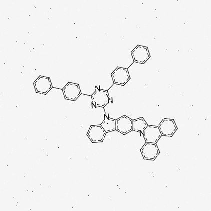 c1ccc(-c2ccc(-c3nc(-c4ccc(-c5ccccc5)cc4)nc(-n4c5ccccc5c5cc6c(cc54)cc4c5ccccc5c5ccccc5n64)n3)cc2)cc1